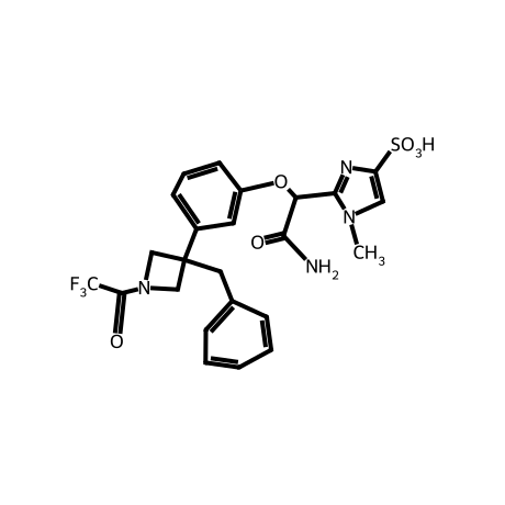 Cn1cc(S(=O)(=O)O)nc1C(Oc1cccc(C2(Cc3ccccc3)CN(C(=O)C(F)(F)F)C2)c1)C(N)=O